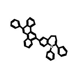 C1=C(c2ccccc2)N(c2ccccc2)c2ccc(-c3cc4c5ccccc5c(-c5ccccc5)cc4c4ccccc34)cc2CC1